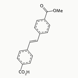 COC(=O)c1ccc(/C=C/c2ccc(C(=O)O)cc2)cc1